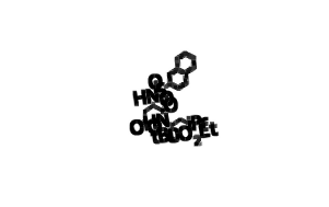 CCOC(=O)C(CC(C)C)NC(=O)C(CC(=O)OC(C)(C)C)NS(=O)(=O)c1ccc2ccccc2c1